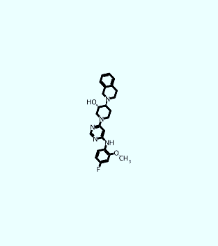 COc1cc(F)ccc1Nc1cc(N2CC[C@H](N3CCc4ccccc4C3)[C@@H](O)C2)ncn1